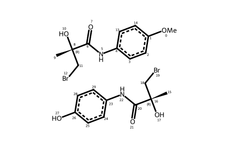 COc1ccc(NC(=O)[C@@](C)(O)CBr)cc1.C[C@](O)(CBr)C(=O)Nc1ccc(O)cc1